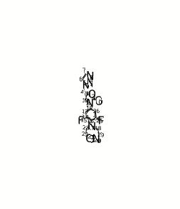 O=C1O[C@@H](Cn2ccnn2)CN1c1cc(F)c(N2CC=NOCC2)c(F)c1